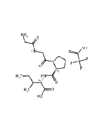 CCC(C)[C@H](NC(=O)[C@@H]1CCCN1C(=O)CNC(=O)CN)C(=O)O.O=C(O)C(F)(F)F